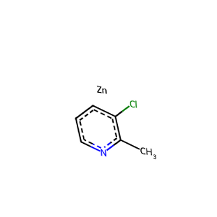 Cc1ncccc1Cl.[Zn]